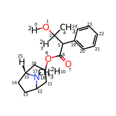 [2H]OC([2H])(C)C(C(=O)O[C@@]1([2H])CC2CC[C@H](C1)N2C)c1ccccc1